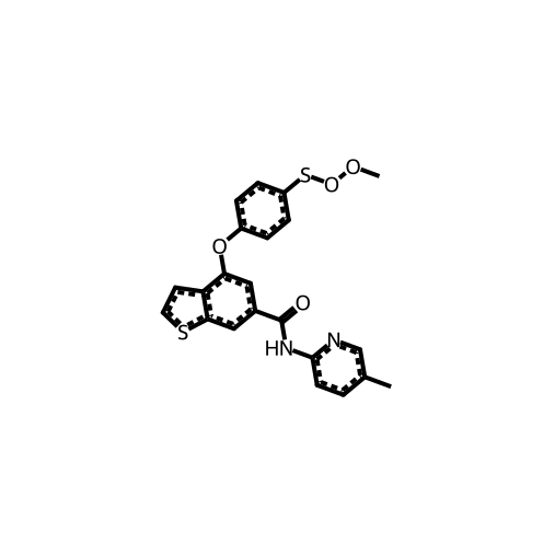 COOSc1ccc(Oc2cc(C(=O)Nc3ccc(C)cn3)cc3sccc23)cc1